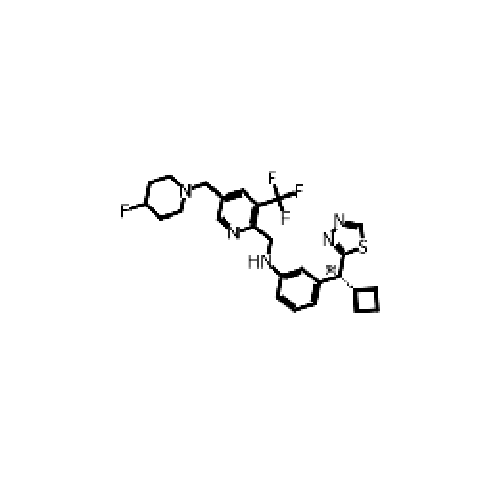 FC1CCN(Cc2cnc(CNc3cccc([C@H](c4nncs4)C4CCC4)c3)c(C(F)(F)F)c2)CC1